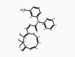 Bc1cccc(N(C(=C)/C=C\C2=C(/C)C(C)(C)C(=C)/C=C\C=C/C2)c2ccccc2)c1